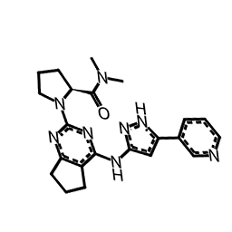 CN(C)C(=O)[C@@H]1CCCN1c1nc2c(c(Nc3cc(-c4cccnc4)[nH]n3)n1)CCC2